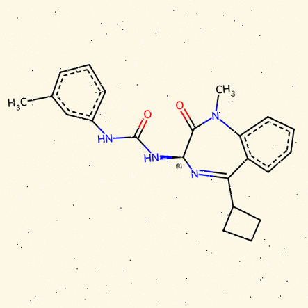 Cc1cccc(NC(=O)N[C@@H]2N=C(C3CCC3)c3ccccc3N(C)C2=O)c1